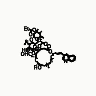 CCC(=O)O[C@@H]1CC(=O)O[C@@H](C/C=C/c2cnc3ccccc3c2)CCCN(C)C[C@H](O)[C@H](C)C[C@H](CC=O)[C@H](O[C@@H]2OC(C)[C@@H](O[C@H]3CC(C)(OC(=O)CC)[C@@H](C)C(C)O3)C(N(C)C)C2O)[C@H]1OC